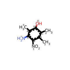 Cc1c(C)c([N+](=O)[O-])c(N)c(C)c1O